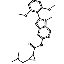 COc1cccc(OC)c1-c1cc2cc(NC(=O)C3CC3CN(C)C)ncc2n1C